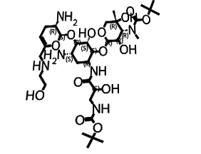 CN(C(=O)OC(C)(C)C)[C@@H]1[C@@H](O)[C@@H](O[C@@H]2[C@@H](O)[C@H](O[C@H]3OC(CNCCO)=CC[C@H]3N)[C@@H](N)C[C@H]2NC(=O)[C@@H](O)CNC(=O)OC(C)(C)C)OC[C@]1(C)O